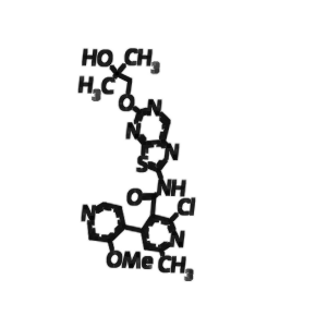 COc1cnccc1-c1cc(C)nc(Cl)c1C(=O)Nc1nc2cnc(OCC(C)(C)O)nc2s1